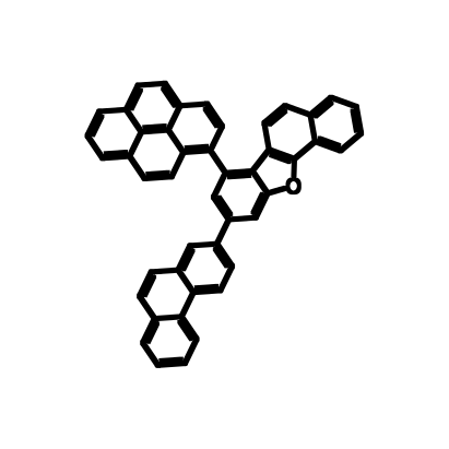 c1ccc2c(c1)ccc1cc(-c3cc(-c4ccc5ccc6cccc7ccc4c5c67)c4c(c3)oc3c5ccccc5ccc34)ccc12